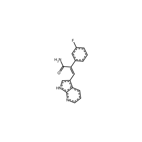 NC(=O)C(=Cc1c[nH]c2ncccc12)c1cccc(F)c1